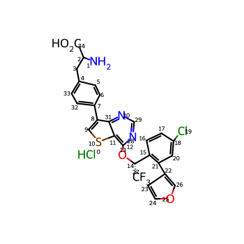 Cl.NC(Cc1ccc(-c2csc3c(O[C@H](c4ccc(Cl)cc4-c4ccoc4)C(F)(F)F)ncnc23)cc1)C(=O)O